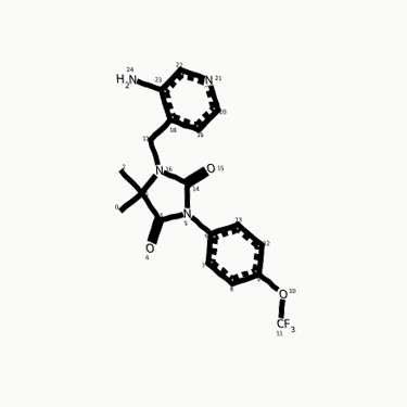 CC1(C)C(=O)N(c2ccc(OC(F)(F)F)cc2)C(=O)N1Cc1ccncc1N